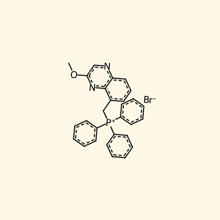 COc1cnc2cccc(C[P+](c3ccccc3)(c3ccccc3)c3ccccc3)c2n1.[Br-]